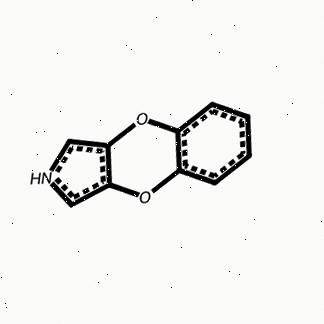 c1ccc2c(c1)Oc1c[nH]cc1O2